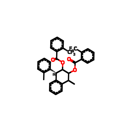 Cc1ccccc1[C@H]1c2ccccc2C(C)C(OC(=O)c2ccccc2C(F)(F)F)C1OC(=O)c1ccccc1C(F)(F)F